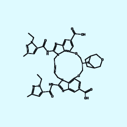 CCn1nc(C)cc1C(=O)Nc1nc2cc(C(=O)O)cc3c2n1C/C=C/Cn1c(NC(=O)c2cc(C)nn2CC)nc2cc(C(=O)O)cc(c21)OCC(N1C2CCC1COC2)CO3